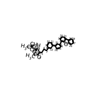 COC(=O)C(CCCc1cccc(-c2cccc(-c3cccc4c3oc3ccccc34)c2)c1)NC(=O)OC(C)(C)C